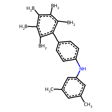 Bc1c(B)c(B)c(-c2ccc(Nc3cc(C)cc(C)c3)cc2)c(B)c1B